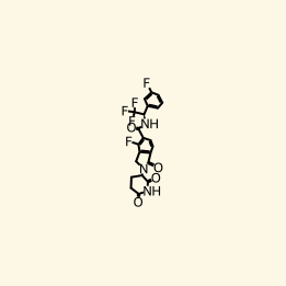 O=C1CCC(N2Cc3c(ccc(C(=O)N[C@H](c4cccc(F)c4)C(F)(F)F)c3F)C2=O)C(=O)N1